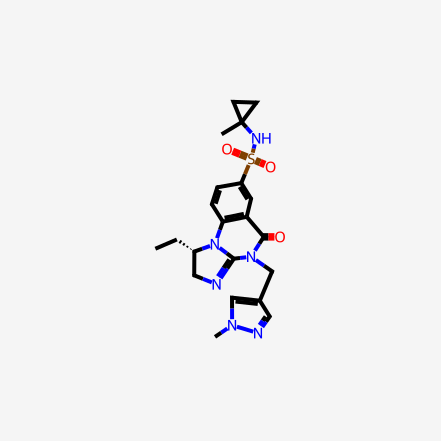 CC[C@H]1CN=C2N(Cc3cnn(C)c3)C(=O)c3cc(S(=O)(=O)NC4(C)CC4)ccc3N21